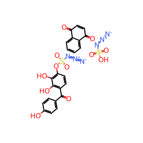 O=C1C=CC(=O)c2ccccc21.[N-]=[N+]=NS(=O)(=O)O.[N-]=[N+]=NS(=O)(=O)Oc1ccc(C(=O)c2ccc(O)cc2)c(O)c1O